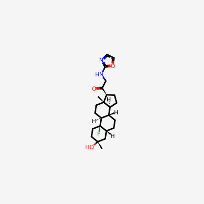 C[C@@]1(O)CC[C@@]2(F)[C@H](CC[C@H]3[C@@H]4CC[C@H](C(=O)CNc5ncco5)[C@@]4(C)CC[C@@H]32)C1